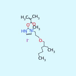 C=C(C)C(=O)OC1NC=C[N+]1(C)CCCOCC(CC)CCCC.[I-]